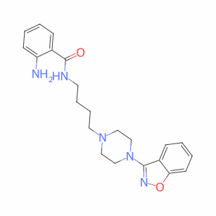 Nc1ccccc1C(=O)NCCCCN1CCN(c2noc3ccccc23)CC1